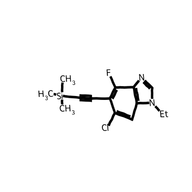 CCn1cnc2c(F)c(C#C[Si](C)(C)C)c(Cl)cc21